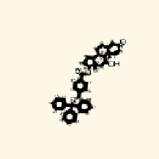 CC12C=CC(=O)C=C1CCC1C2C(O)CC2(C)C(OC(=O)c3ccc(COC(c4ccccc4)(c4ccccc4)c4ccccc4)cc3)CCC12